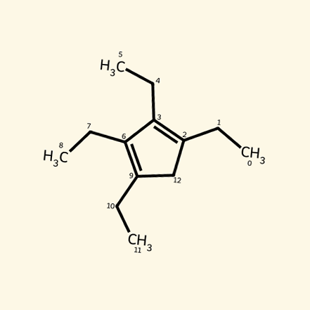 CCC1=C(CC)C(CC)=C(CC)C1